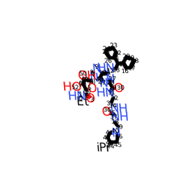 CCNC(=O)[C@H]1O[C@@H](n2cnc3c(NCC(c4ccccc4)c4ccccc4)nc(C(=O)NCCNC(=O)NCCN4CCC(C(C)C)CC4)nc32)[C@@H](O)[C@@H]1O